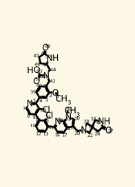 COc1cc(-c2nccc(-c3cccc(-c4ccc5c(CN6CC7(CNC(=O)C7)C6)cn(C)c5n4)c3Cl)c2Cl)ccc1CN(CC1CCC(=O)N1)C(=O)O